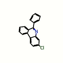 Clc1ccc2c(c1)nc(-c1ccccc1)c1ccccc12